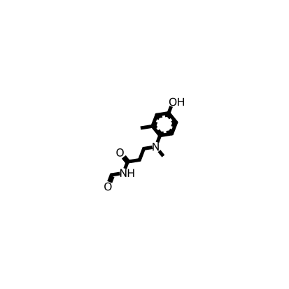 Cc1cc(O)ccc1N(C)CCC(=O)NC=O